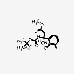 COC(=O)C[C@](C)(NC(=O)OC(C)(C)C)c1cccc(I)c1Cl